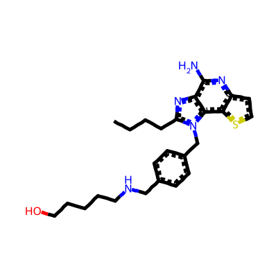 CCCCc1nc2c(N)nc3ccsc3c2n1Cc1ccc(CNCCCCCO)cc1